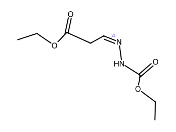 CCOC(=O)C/C=N\NC(=O)OCC